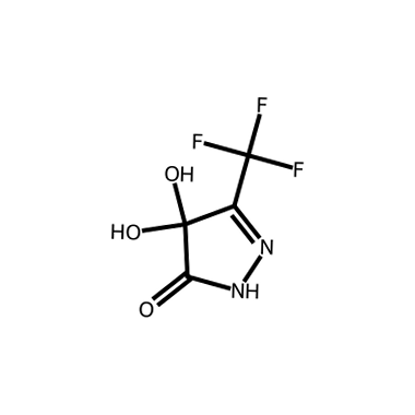 O=C1NN=C(C(F)(F)F)C1(O)O